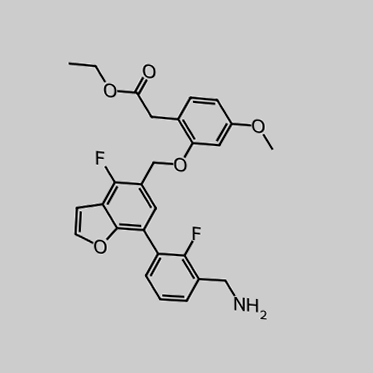 CCOC(=O)Cc1ccc(OC)cc1OCc1cc(-c2cccc(CN)c2F)c2occc2c1F